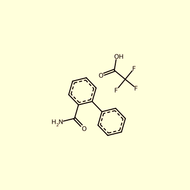 NC(=O)c1ccccc1-c1ccccc1.O=C(O)C(F)(F)F